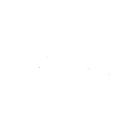 CC(C)Cn1c(N(C)C(=O)O)c(-c2ccccc2)c2cc(-c3nc(C#N)cs3)ccc2c1=O